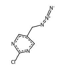 [N-]=[N+]=NCc1cnc(Cl)nc1